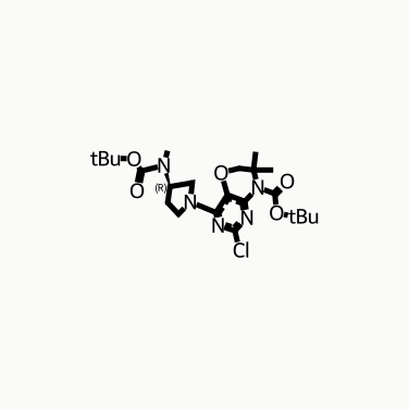 CN(C(=O)OC(C)(C)C)[C@@H]1CCN(c2nc(Cl)nc3c2OCC(C)(C)N3C(=O)OC(C)(C)C)C1